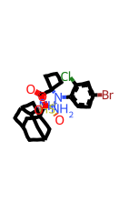 NC(=O)C12CC3CC(C1)C(NC(=O)C1(N(c4ccc(Br)cc4Cl)[SH](=O)=O)CCC1)C(C3)C2